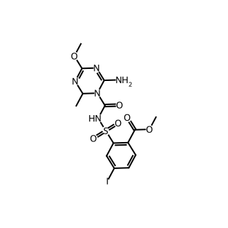 COC(=O)c1ccc(I)cc1S(=O)(=O)NC(=O)N1C(N)=NC(OC)=NC1C